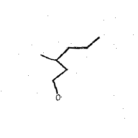 CCCC(C)CC[O]